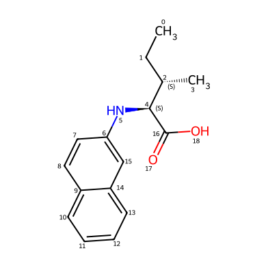 CC[C@H](C)[C@H](Nc1ccc2ccccc2c1)C(=O)O